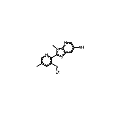 CCSc1cc(C)cnc1-c1nc2cc(S)cnc2n1C